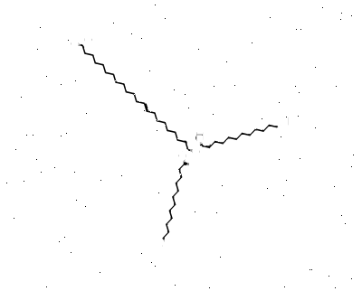 CCCCCCCCCCCCC(=O)OC(OC(=O)CCCCCCCCCCCC)C(C)CCCCCCC=CCCCCCCCCCCCC(=O)O